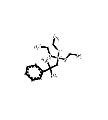 CC[O][Ti]([CH2]C(C)(C)c1ccccc1)([O]CC)[O]CC